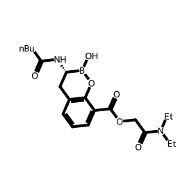 CCCCC(=O)N[C@H]1Cc2cccc(C(=O)OCC(=O)N(CC)CC)c2OB1O